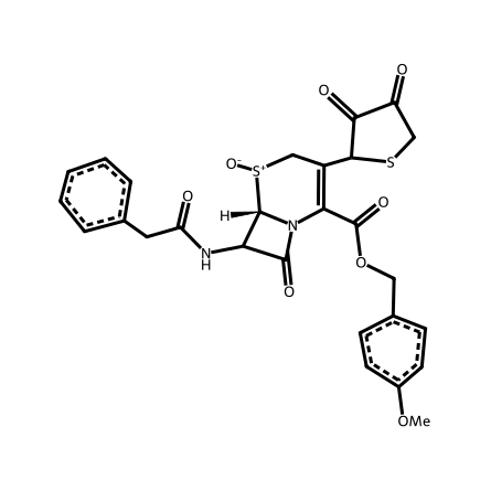 COc1ccc(COC(=O)C2=C(C3SCC(=O)C3=O)C[S+]([O-])[C@H]3C(NC(=O)Cc4ccccc4)C(=O)N23)cc1